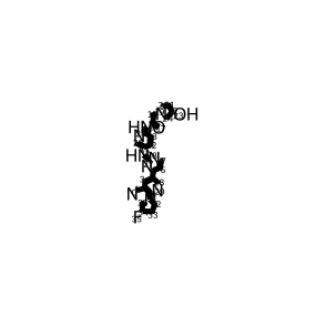 N#Cc1cc(-c2ccnc(Nc3ccc(NC(=O)CN4CCC(O)C4)nc3)n2)cnc1N1CCC(F)C1